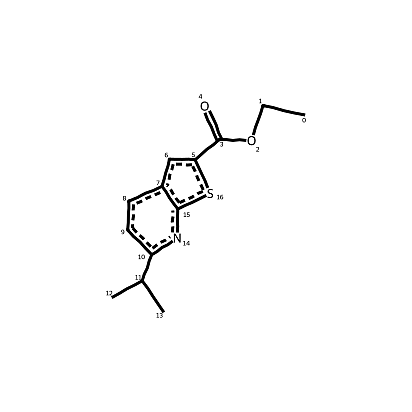 CCOC(=O)c1cc2ccc(C(C)C)nc2s1